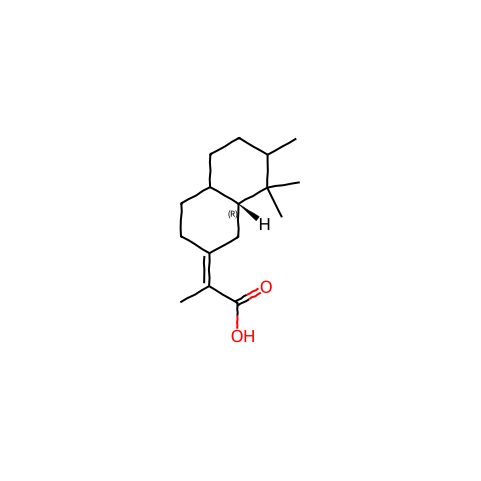 CC(C(=O)O)=C1CCC2CCC(C)C(C)(C)[C@@H]2C1